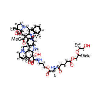 CCC(CO)OC(COC(=O)CCCC(=O)N[C@H](C)C(=O)OCCCNC(=O)[C@]1(O)C2N(C)c3cc(OC)c([C@@]4(C(=O)OC)C[C@H]5N(CCC5(O)CC)Cc5c4[nH]c4ccccc54)cc3[C@@]23CCN2CC=C[C@](CC)(C23)[C@H]1O)OC